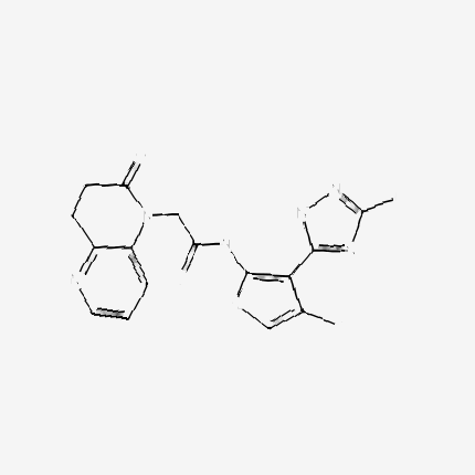 CCc1n[nH]c(-c2c(Cl)csc2NC(=O)CN2C(=O)CCc3ncccc32)n1